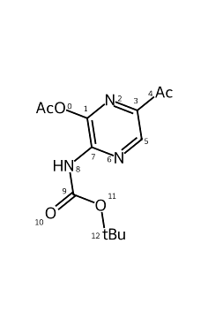 CC(=O)Oc1nc(C(C)=O)cnc1NC(=O)OC(C)(C)C